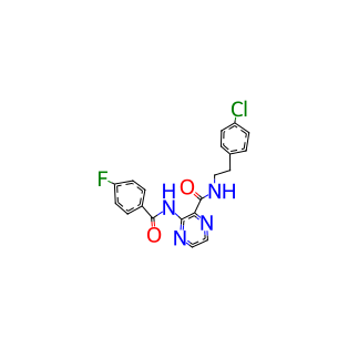 O=C(Nc1nccnc1C(=O)NCCc1ccc(Cl)cc1)c1ccc(F)cc1